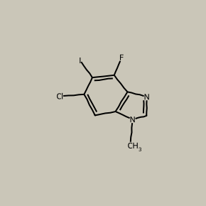 Cn1cnc2c(F)c(I)c(Cl)cc21